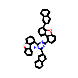 c1ccc2cc(C3=NC(c4cccc5oc6c(-c7ccc8ccccc8c7)cccc6c45)=NC(c4cccc5oc6ccccc6c45)N3)ccc2c1